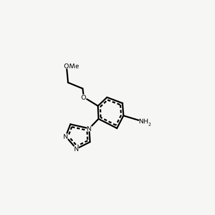 COCCOc1ccc(N)cc1-n1cnnc1